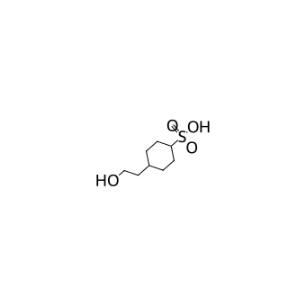 O=S(=O)(O)C1CCC(CCO)CC1